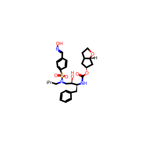 CC(C)CN(C[C@@H](O)[C@H](Cc1ccccc1)NC(=O)O[C@@H]1CC2CCO[C@@H]2C1)S(=O)(=O)c1ccc(/C=N/O)cc1